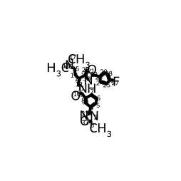 Cc1nc(-c2cccc(C(=O)NCC(CCN(C)C)c3coc(-c4ccc(F)cc4)n3)c2)no1